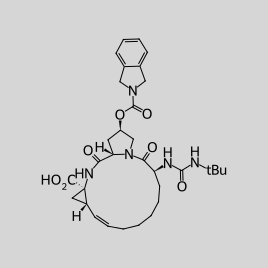 CC(C)(C)NC(=O)N[C@H]1CCCCCC=C[C@@H]2C[C@@]2(C(=O)O)NC(=O)[C@@H]2C[C@@H](OC(=O)N3Cc4ccccc4C3)CN2C1=O